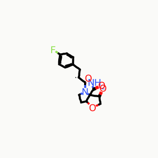 NC(=O)C12C(=O)COC1CCN2C(=O)[CH]Cc1ccc(F)cc1